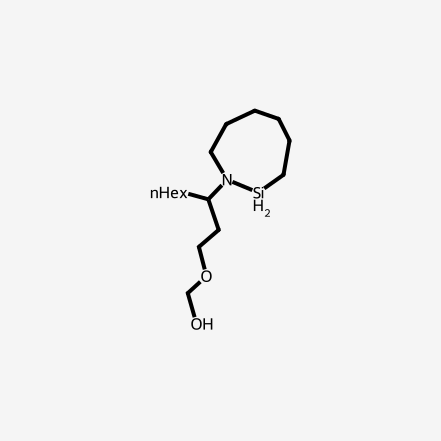 CCCCCCC(CCOCO)N1CCCCCC[SiH2]1